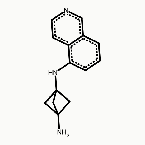 NC12CC(Nc3cccc4cnccc34)(C1)C2